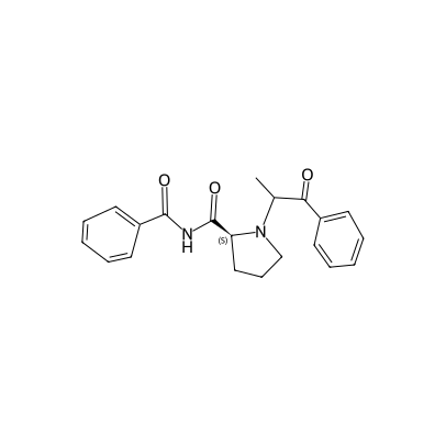 CC(C(=O)c1ccccc1)N1CCC[C@H]1C(=O)NC(=O)c1ccccc1